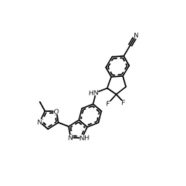 Cc1ncc(-c2n[nH]c3ccc(NC4c5ccc(C#N)cc5CC4(F)F)cc23)o1